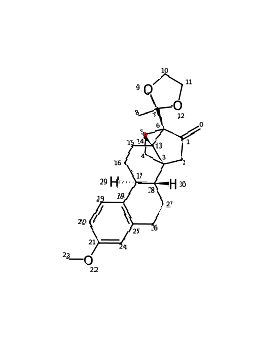 C=C1CC23CC[C@@]1(C1(C)OCCO1)[C@@]2(C)CC[C@@H]1c2ccc(OC)cc2CC[C@H]13